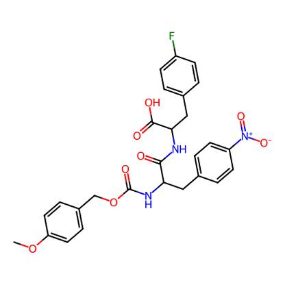 COc1ccc(COC(=O)NC(Cc2ccc([N+](=O)[O-])cc2)C(=O)NC(Cc2ccc(F)cc2)C(=O)O)cc1